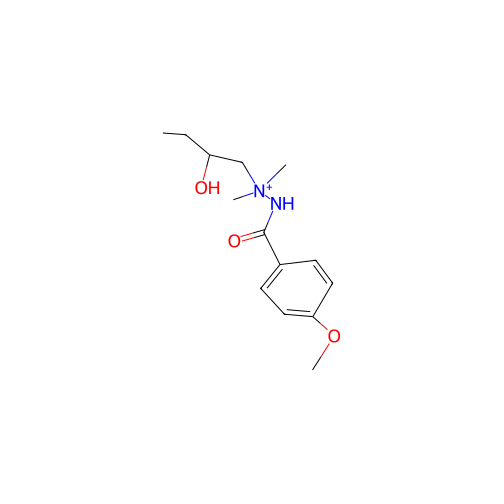 CCC(O)C[N+](C)(C)NC(=O)c1ccc(OC)cc1